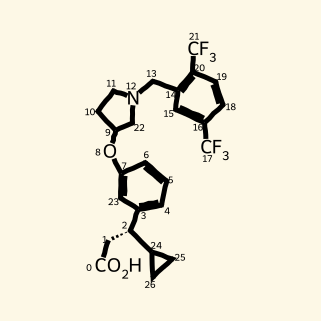 O=C(O)C[C@H](c1cccc(OC2CCN(Cc3cc(C(F)(F)F)ccc3C(F)(F)F)C2)c1)C1CC1